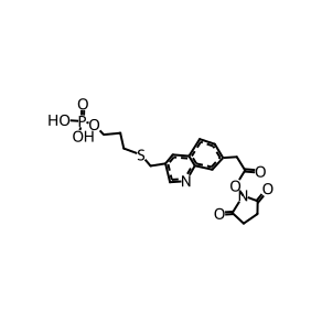 O=C(Cc1ccc2cc(CSCCCOP(=O)(O)O)cnc2c1)ON1C(=O)CCC1=O